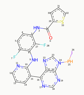 O=C(Nc1ccc(F)c(Nc2ncccc2-c2ncnc3c2ncn3PI)c1F)c1cccs1